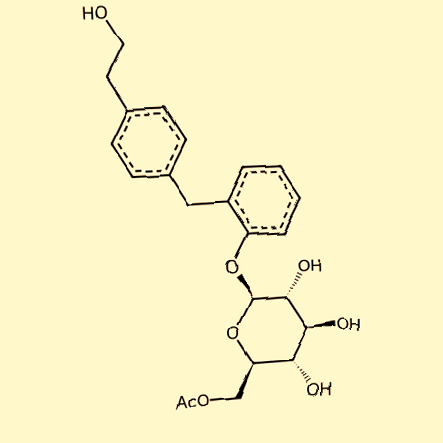 CC(=O)OC[C@H]1O[C@@H](Oc2ccccc2Cc2ccc(CCO)cc2)[C@H](O)[C@@H](O)[C@@H]1O